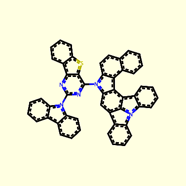 c1ccc2c(c1)ccc1c2c2c3c4ccccc4n4c5ccccc5c(cc2n1-c1nc(-n2c5ccccc5c5ccccc52)nc2c1sc1ccccc12)c34